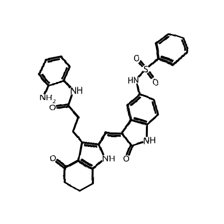 Nc1ccccc1NC(=O)CCc1c(C=C2C(=O)Nc3ccc(NS(=O)(=O)c4ccccc4)cc32)[nH]c2c1C(=O)CCC2